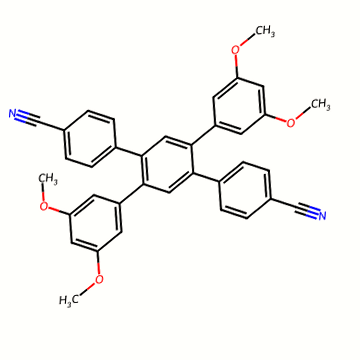 COc1cc(OC)cc(-c2cc(-c3ccc(C#N)cc3)c(-c3cc(OC)cc(OC)c3)cc2-c2ccc(C#N)cc2)c1